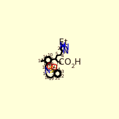 CCn1cc(CCC(CC(=O)O)c2ccc(C)c(CN3CCCc4ccccc4S3(=O)=O)c2)nn1